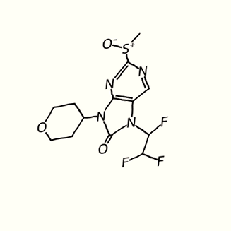 C[S+]([O-])c1ncc2c(n1)n(C1CCOCC1)c(=O)n2C(F)C(F)F